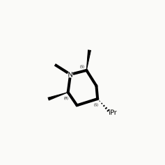 CC(C)[C@@H]1C[C@@H](C)N(C)[C@@H](C)C1